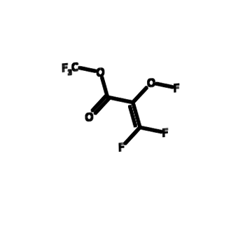 O=C(OC(F)(F)F)C(OF)=C(F)F